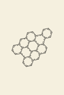 c1ccc2c(c1)c1ccc3cc4cccc5c6cccc7cc8ccc2c2c8c(c76)c(c45)c3c12